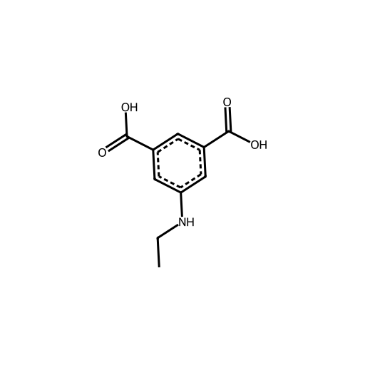 CCNc1cc(C(=O)O)cc(C(=O)O)c1